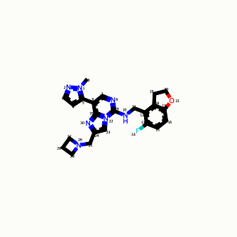 Cn1nccc1-c1cnc(NCc2c(F)ccc3c2CCO3)n2cc(CN3CCC3)nc12